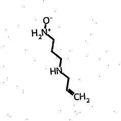 C=CCNCCC[NH2+][O-]